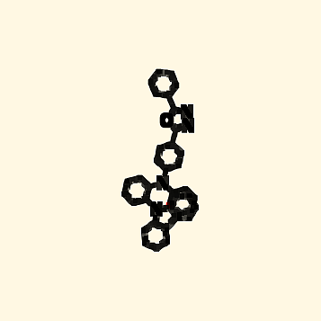 c1ccc(-c2nnc(-c3ccc(N(c4ccccc4)c4ccccc4-n4c5ccccc5c5ccccc54)cc3)o2)cc1